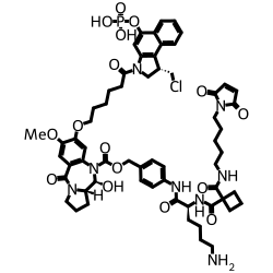 COc1cc2c(cc1OCCCCCC(=O)N1C[C@@H](CCl)c3c1cc(OP(=O)(O)O)c1ccccc31)N(C(=O)OCc1ccc(NC(=O)[C@H](CCCCN)NC(=O)C3(C(=O)NCCCCCN4C(=O)C=CC4=O)CCC3)cc1)[C@@H](O)[C@@H]1CCCN1C2=O